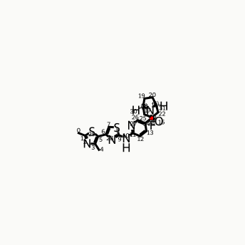 Cc1nc(C)c(-c2csc(Nc3ccc(C(=O)N4[C@@H]5CC[C@H]4CC(F)C5)cn3)n2)s1